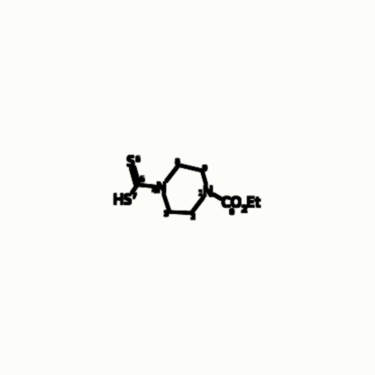 CCOC(=O)N1CCN(C(=S)S)CC1